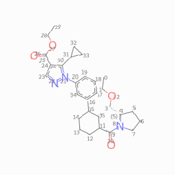 CCOC[C@@H]1CCCN1C(=O)C1CCCC(c2cccc(-n3ncc(C(=O)OCC)c3C3CC3)c2)C1